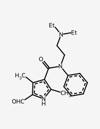 CCN(CC)CCN(C(=O)c1c(C)[nH]c(C=O)c1C)c1ccccc1